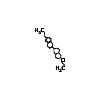 C=CCOC1CCC2CC(C3CCc4cc(CCC)ccc4C3)CCC2C1